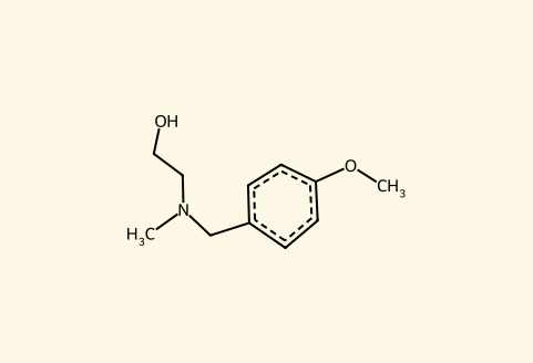 COc1ccc(CN(C)CCO)cc1